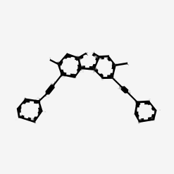 Cc1cc2oc3cc(C)c(C#Cc4ccccc4)cc3c2cc1C#Cc1ccccc1